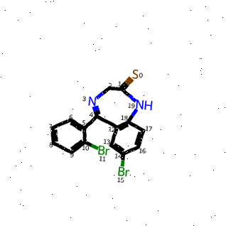 S=C1CN=C(c2ccccc2Br)c2cc(Br)ccc2N1